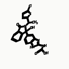 CC(c1ccc(Cl)s1)N1C(=O)c2ccccc2C1(O)c1ccc2[nH]c(NC(=O)O)nc2c1